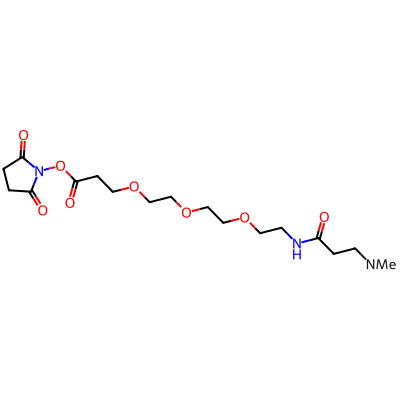 CNCCC(=O)NCCOCCOCCOCCC(=O)ON1C(=O)CCC1=O